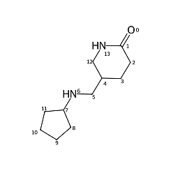 O=C1CCC(CNC2CCCC2)CN1